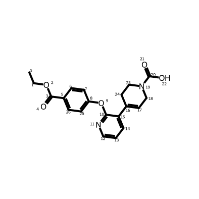 CCOC(=O)c1ccc(Oc2ncccc2C2=CCN(C(=O)O)CC2)cc1